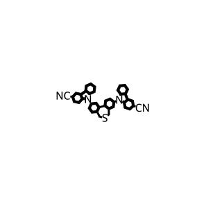 N#Cc1ccc2c(c1)c1ccccc1n2-c1ccc2c(c1)CSCc1ccc(-n3c4ccccc4c4cc(C#N)ccc43)cc1-2